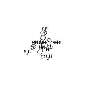 COc1ncnc(N[C@@H]2CCC[C@H](C(=O)O)C2)c1C(=O)Nc1cc2c(cc1C(=O)NC13CCC(C(F)(F)F)(CC1)OC3)OC(F)(F)O2